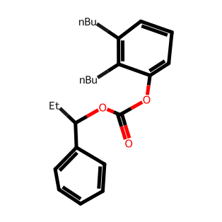 CCCCc1cccc(OC(=O)OC(CC)c2ccccc2)c1CCCC